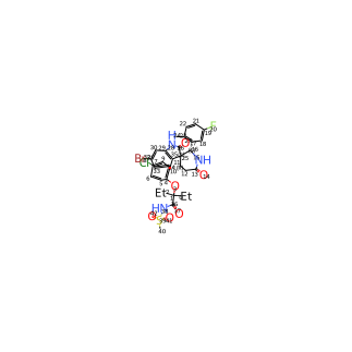 CCC(CC)(Oc1ccc(Cl)cc1[C@H]1CC(=O)N[C@@H](c2cc(F)ccc2C)[C@]12C(=O)Nc1cc(Br)ccc12)C(=O)NS(C)(=O)=O